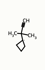 C#CC(C)(C)[C]1CCC1